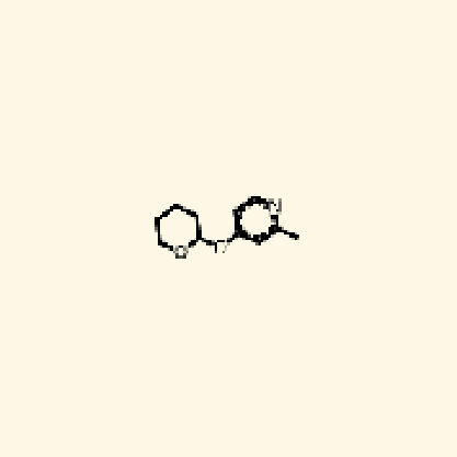 Cc1cc(OC2CCCCO2)ccn1